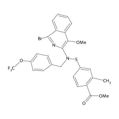 COC(=O)c1ccc(SN(Cc2ccc(OC(F)(F)F)cc2)c2nc(Br)c3ccccc3c2OC)cc1C